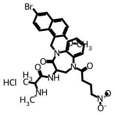 CNC(C)C(=O)NC1CN(C(=O)CCC[N+](=O)[O-])c2ccccc2N(Cc2c(OC)ccc3cc(Br)ccc23)C1=O.Cl